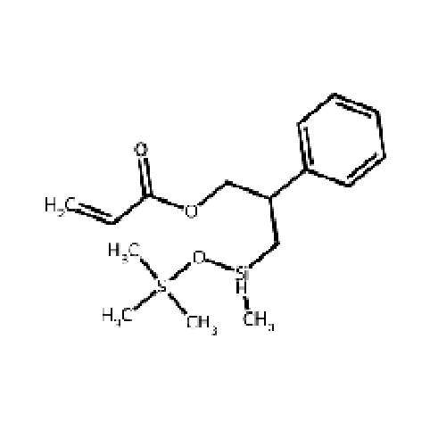 C=CC(=O)OCC(C[SiH](C)O[Si](C)(C)C)c1ccccc1